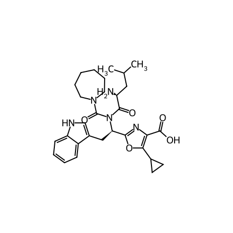 CC(C)C[C@H](N)C(=O)N(C(=O)N1CCCCCC1)[C@H](Cc1c[nH]c2ccccc12)c1nc(C(=O)O)c(C2CC2)o1